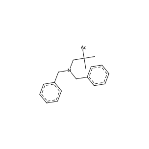 CC(=O)C(C)(C)CN(Cc1ccccc1)Cc1ccccc1